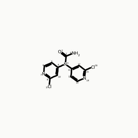 NC(=O)N(c1ccnc(Cl)c1)c1ccnc(Cl)c1